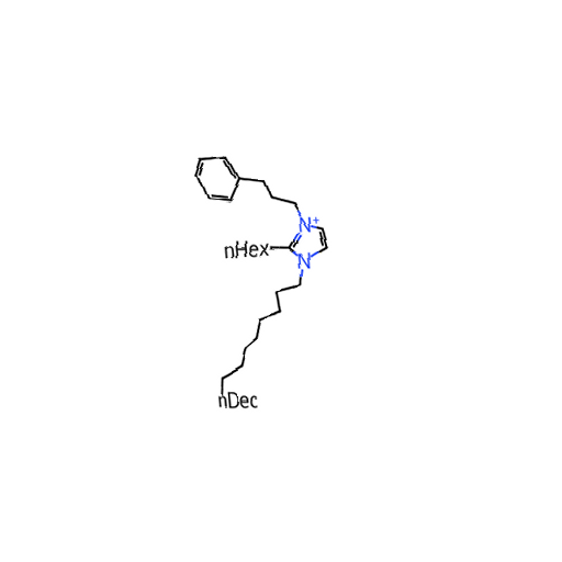 CCCCCCCCCCCCCCCCCCn1cc[n+](CCCc2ccccc2)c1CCCCCC